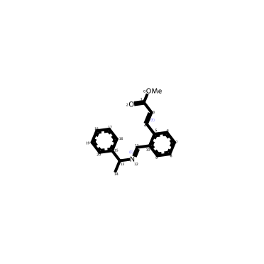 COC(=O)/C=C/c1ccccc1/C=N/C(C)c1ccccc1